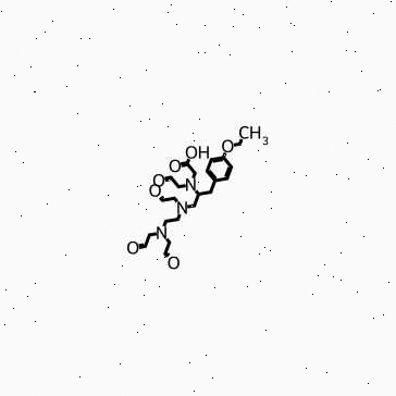 CCOc1ccc(CC(CN(CC=O)CCN(CC=O)CC=O)N(CC=O)CC(=O)O)cc1